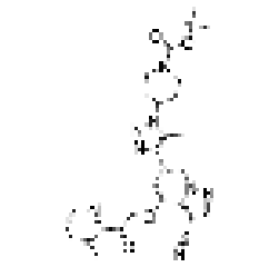 Cc1cccnc1C(=O)COc1cc(-c2nnn(C3CCN(C(=O)OC(C)(C)C)CC3)c2C)cn2ncc(C#N)c12